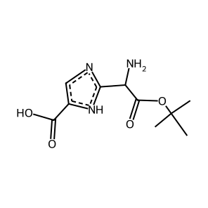 CC(C)(C)OC(=O)C(N)c1ncc(C(=O)O)[nH]1